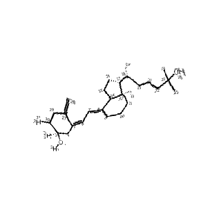 [2H]O[C@]1([2H])C/C(=C/C=C2CCC[C@@]3(C)C2CC[C@@H]3[C@H](C)CCCC(C)(C)O)C(=C)CC1[2H]